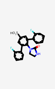 O=C1NCCN1c1c(-c2ccccc2F)cc(S(=O)(=O)O)cc1-c1ccccc1F